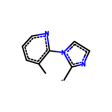 [CH2]c1nccn1-c1ncccc1C